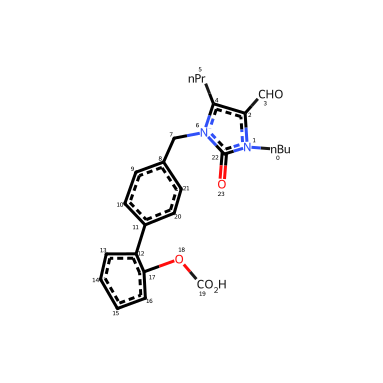 CCCCn1c(C=O)c(CCC)n(Cc2ccc(-c3ccccc3OC(=O)O)cc2)c1=O